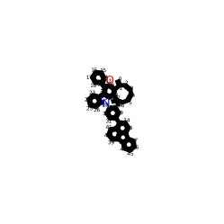 C=C1/C=C\C=C/CC(C)(C)c2c1c1oc3ccccc3c1c1c3ccccc3n(-c3ccc(-c4ccc5c6c(cccc46)-c4ccccc4-5)cc3)c21